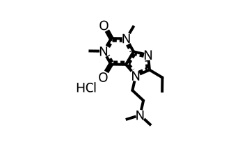 CCc1nc2c(c(=O)n(C)c(=O)n2C)n1CCN(C)C.Cl